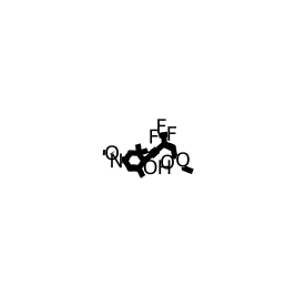 CCOC(=O)/C=C(\C#CC1(O)C(C)=CC(=NOC)CC1(C)C)C(F)(F)F